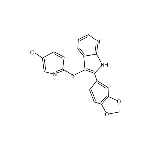 Clc1ccc(Sc2c(-c3ccc4c(c3)OCO4)[nH]c3ncccc23)nc1